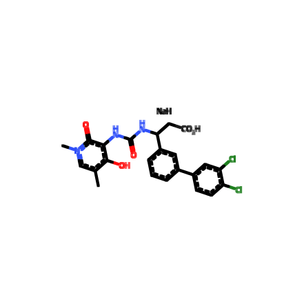 Cc1cn(C)c(=O)c(NC(=O)NC(CC(=O)O)c2cccc(-c3ccc(Cl)c(Cl)c3)c2)c1O.[NaH]